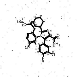 CC(C)(C)OC(=O)Cc1ccc(Cl)c(F)c1-n1c(C2CCCCC2)nc(C(N)=O)c1-c1ccc(F)c(Cl)c1